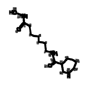 O=C(CCCCCCNC(=O)C1CCCNC1)NO